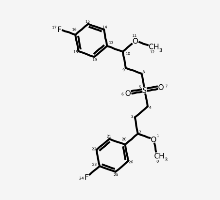 COC(CCS(=O)(=O)CCC(OC)c1ccc(F)cc1)c1ccc(F)cc1